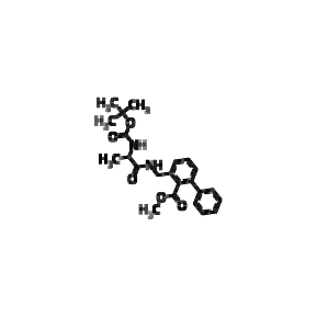 COC(=O)c1c(CNC(=O)C(C)NC(=O)OC(C)(C)C)cccc1-c1ccccc1